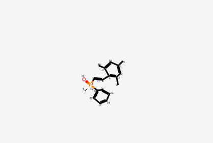 Cc1cc(C)c(/C=C/[P@](C)(=O)c2ccccc2)c(C)c1